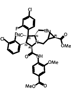 COC(=O)c1ccc(NC(=O)[C@H]2[C@H](c3cccc(Cl)c3F)[C@@](C#N)(c3ccc(Cl)cc3F)[C@H](CC(C)(C)C)N2CC2C[C@H]2C(=O)OC)c(OC)c1